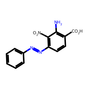 Nc1c(C(=O)O)ccc(N=Nc2ccccc2)c1[N+](=O)[O-]